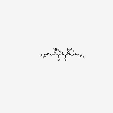 C=CCN(N)C(=S)[N]C(=S)N(N)CC=C